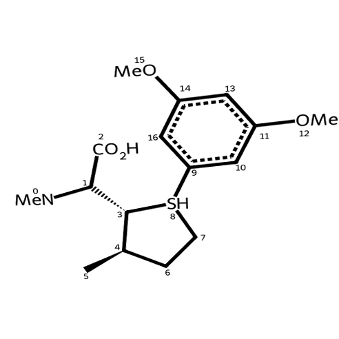 CNC(C(=O)O)[C@H]1[C@H](C)CC[SH]1c1cc(OC)cc(OC)c1